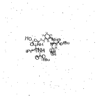 CC(C)[C@H](NC(=O)OC(C)(C)C)C(=O)NC(CCc1cccc(NC(=NC(=O)OC(C)(C)C)NC(=O)OC(C)(C)C)c1)C(=O)O